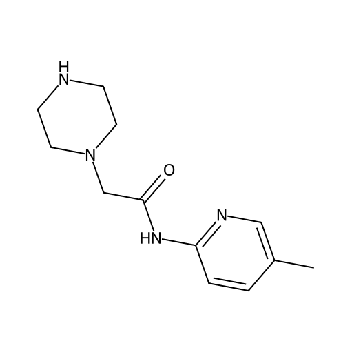 Cc1ccc(NC(=O)CN2CCNCC2)nc1